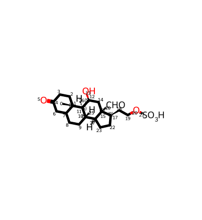 C[C@]12CCC(=O)CC1CC[C@@H]1[C@@H]2[C@@H](O)C[C@]2(C=O)[C@@H](CCOS(=O)(=O)O)CC[C@@H]12